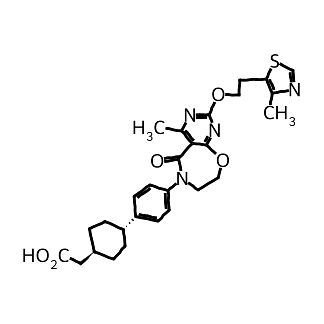 Cc1ncsc1CCOc1nc(C)c2c(n1)OCCN(c1ccc([C@H]3CC[C@H](CC(=O)O)CC3)cc1)C2=O